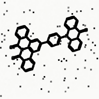 O=C1c2ccccc2N(c2ccc(-c3cc4c5ccccc5c(=O)n5c(=O)c6ccccc6c(c3)c45)cc2)C2C=CC=CC12